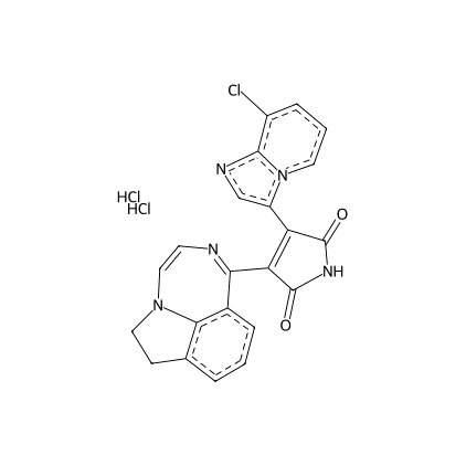 Cl.Cl.O=C1NC(=O)C(c2cnc3c(Cl)cccn23)=C1C1=NC=CN2CCc3cccc1c32